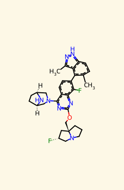 Cc1ccc2[nH]nc(C)c2c1-c1ccc2c(N3C[C@H]4CC[C@@H](C3)N4)nc(OC[C@@]34CCCN3C[C@H](F)C4)nc2c1F